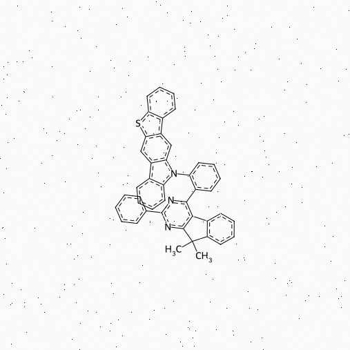 CC1(C)c2ccccc2-c2c(-c3ccccc3-n3c4ccccc4c4cc5sc6ccccc6c5cc43)nc(-c3ccccc3)nc21